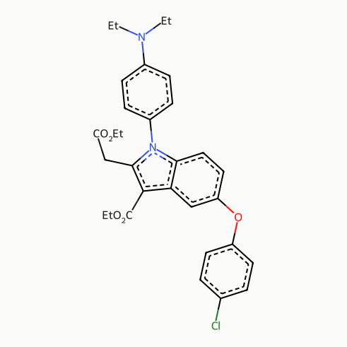 CCOC(=O)Cc1c(C(=O)OCC)c2cc(Oc3ccc(Cl)cc3)ccc2n1-c1ccc(N(CC)CC)cc1